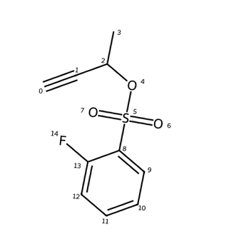 C#CC(C)OS(=O)(=O)c1ccccc1F